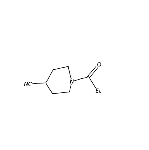 CCC(=O)N1CCC(C#N)CC1